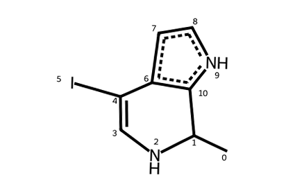 CC1NC=C(I)c2cc[nH]c21